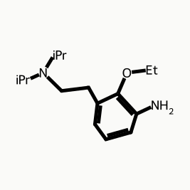 CCOc1c(N)cccc1CCN(C(C)C)C(C)C